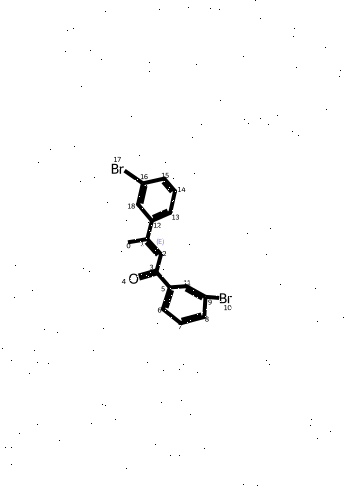 C/C(=C\C(=O)c1cccc(Br)c1)c1cccc(Br)c1